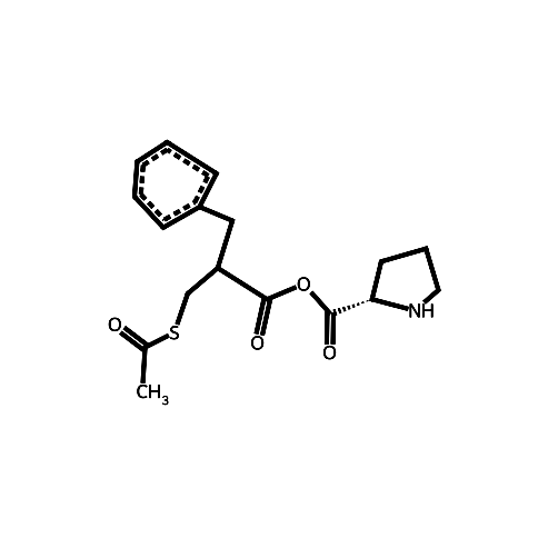 CC(=O)SCC(Cc1ccccc1)C(=O)OC(=O)[C@@H]1CCCN1